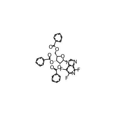 O=C(OC[C@H]1O[C@@H](n2cnc3c(F)nc(F)c(F)c32)[C@H](OC(=O)c2ccccc2)[C@@H]1OC(=O)c1ccccc1)c1ccccc1